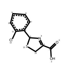 O=C(O)C1=NC(c2ccccc2Cl)SC1